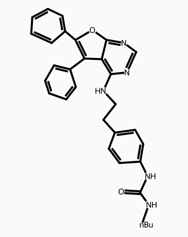 CCCCNC(=O)Nc1ccc(CCNc2ncnc3oc(-c4ccccc4)c(-c4ccccc4)c23)cc1